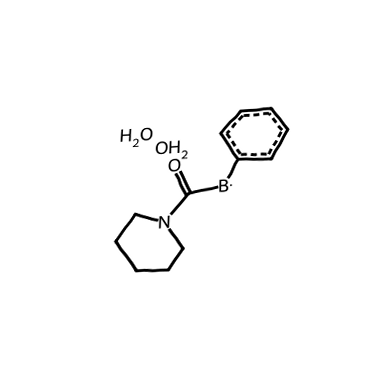 O.O.O=C([B]c1ccccc1)N1CCCCC1